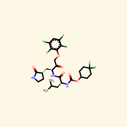 CC(C)C[C@H](NC(=O)OC1CCC(F)(F)CC1)C(=O)N[C@@H](C[C@@H]1CCNC1=O)C(=O)COc1c(F)c(F)cc(F)c1F